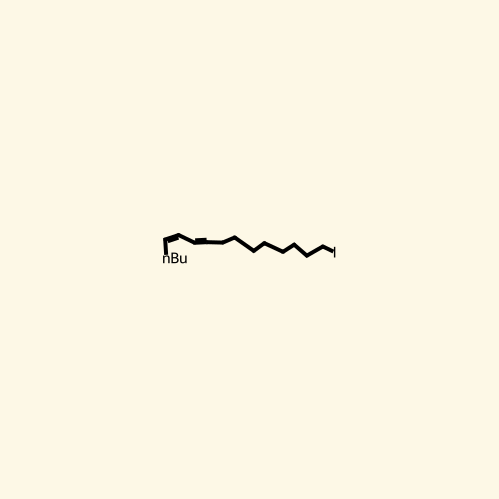 CCCC/C=C\C=C\CCCCCCCCI